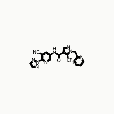 N#Cc1cc(NC(=O)c2cnn(Cc3ccccn3)c2C(F)(F)F)cnc1-n1nccn1